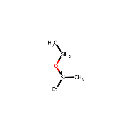 CC[SiH](C)O[SiH2]C